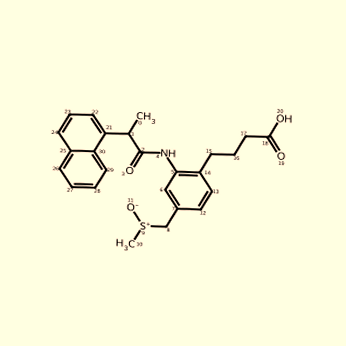 CC(C(=O)Nc1cc(C[S+](C)[O-])ccc1CCCC(=O)O)c1cccc2ccccc12